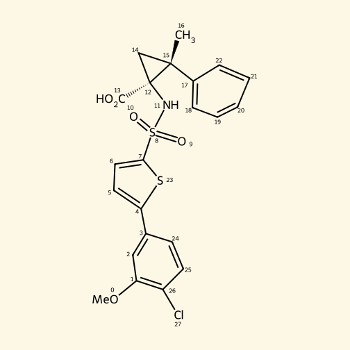 COc1cc(-c2ccc(S(=O)(=O)N[C@@]3(C(=O)O)C[C@]3(C)c3ccccc3)s2)ccc1Cl